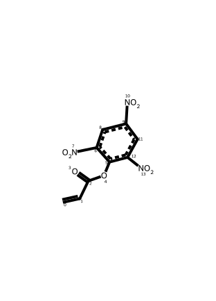 C=CC(=O)Oc1c([N+](=O)[O-])cc([N+](=O)[O-])cc1[N+](=O)[O-]